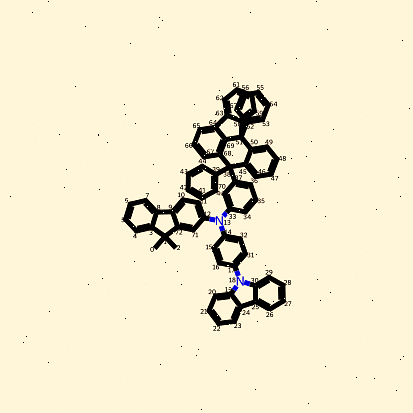 CC1(C)c2ccccc2-c2ccc(N(c3ccc(-n4c5ccccc5c5ccccc54)cc3)c3cccc(C4(c5ccccc5)c5ccccc5C5(c6ccccc6)c6ccccc6-c6cccc4c65)c3)cc21